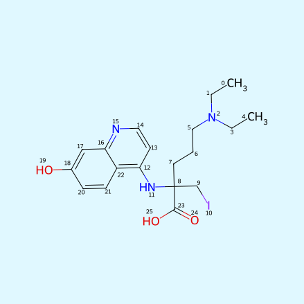 CCN(CC)CCCC(CI)(Nc1ccnc2cc(O)ccc12)C(=O)O